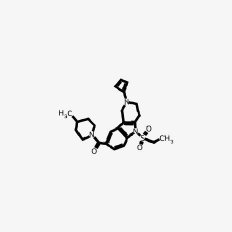 CCS(=O)(=O)n1c2c(c3cc(C(=O)N4CCC(C)CC4)ccc31)CN(C1=CC=C1)CC2